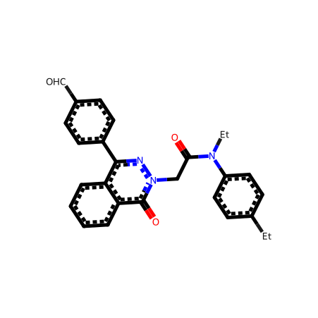 CCc1ccc(N(CC)C(=O)Cn2nc(-c3ccc(C=O)cc3)c3ccccc3c2=O)cc1